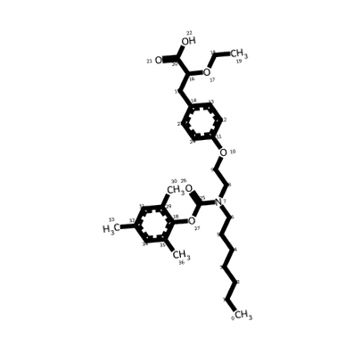 CCCCCCCN(CCOc1ccc(CC(OCC)C(=O)O)cc1)C(=O)Oc1c(C)cc(C)cc1C